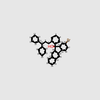 OC1(c2ccccc2CCC(c2ccccc2)c2ccccc2)c2cc(Br)ccc2-c2cc3ccccc3cc21